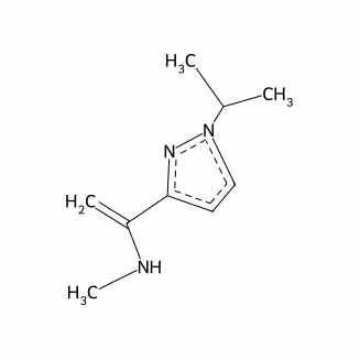 C=C(NC)c1ccn(C(C)C)n1